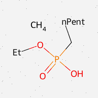 C.CCCCCCP(=O)(O)OCC